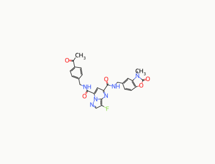 CC(=O)c1ccc(CNC(=O)c2cc(C(=O)NCc3ccc4oc(=O)n(C)c4c3)nc3c(F)cnn23)cc1